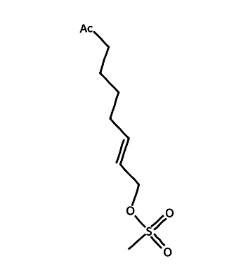 CC(=O)CCCCC=CCOS(C)(=O)=O